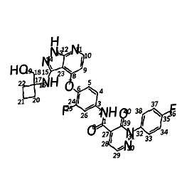 O=C(Nc1ccc(Oc2ccnc3[nH]nc(NC4(CO)CCC4)c23)c(F)c1)c1ccnn(-c2ccc(F)cc2)c1=O